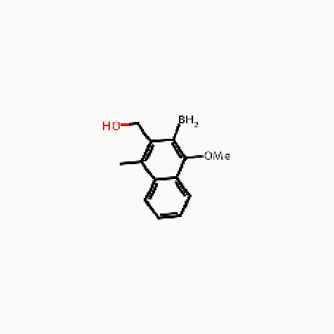 Bc1c(CO)c(C)c2ccccc2c1OC